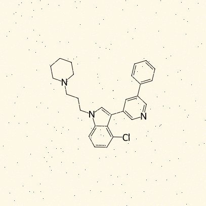 Clc1cccc2c1c(-c1cncc(-c3ccccc3)c1)cn2CCCN1CCCCC1